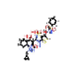 O=c1c(C2=NS(O)(O)c3c(CNS(=O)(=O)c4ccccc4)csc3N2)c(O)c2ccccc2n1NCC1CC1